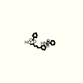 O=C(OC(CO)C/C=C/c1cccc(NS(=O)(=O)c2ccccc2)c1)c1ccccc1